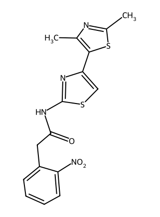 Cc1nc(C)c(-c2csc(NC(=O)Cc3ccccc3[N+](=O)[O-])n2)s1